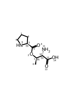 C[C@@H](OC(=O)[C@@H]1CCCN1)[C@H](N)C(=O)O